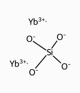 [O-][Si]([O-])([O-])[O-].[Yb+3].[Yb+3]